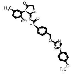 CCCc1ccc(C)cc1N1C(=O)CSC1=NC(=O)Nc1ccc(COc2ncn(-c3ccc(OC(F)(F)F)cc3)n2)cc1